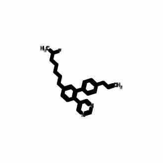 C=CCc1ccc(-c2cc(CCCCCC(C)F)ccc2-c2cncnc2)cc1